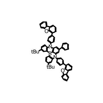 CC(C)(C)c1ccc2c(c1)B1c3ccc(C(C)(C)C)cc3N(c3ccc(-c4cccc5c4oc4ccccc45)cc3)c3cc(-c4ccccc4)cc(c31)N2c1ccc(-c2cccc3c2oc2ccccc23)cc1